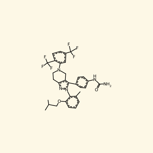 Cc1cccc(OCC(C)C)c1-n1nc2c(c1-c1ccc(NC(N)=O)cc1)CN(c1cc(C(F)(F)F)ccc1C(F)(F)F)CC2